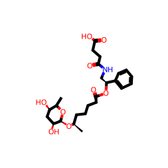 CC1O[C@@H](O[C@H](C)CCCCC(=O)O[C@@H](CNC(=O)CCC(=O)O)c2ccccc2)[C@@H](O)C[C@H]1O